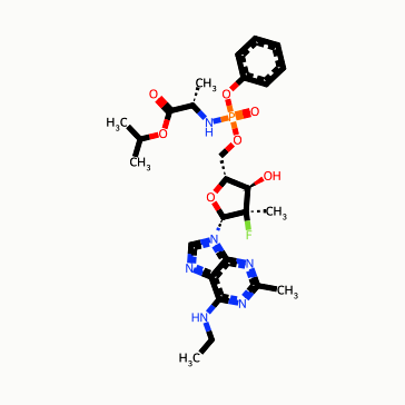 CCNc1nc(C)nc2c1ncn2[C@@H]1O[C@H](COP(=O)(N[C@@H](C)C(=O)OC(C)C)Oc2ccccc2)[C@@H](O)[C@@]1(C)F